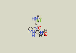 O=C([C@H]1CC[C@H](NC2(C(F)(F)F)CC2)CC1)N1Cc2cccnc2Nc2ccc(N3C[C@H]4C[C@@H]3CO4)cc21